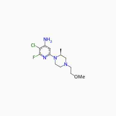 COCCN1CCN(c2cc(N)c(Cl)c(F)n2)[C@@H](C)C1